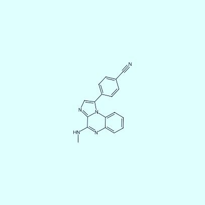 CNc1nc2ccccc2n2c(-c3ccc(C#N)cc3)cnc12